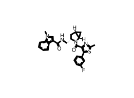 Cc1nc(C(=O)N2[C@H](CNC(=O)c3cn(C)c4ccccc34)C[C@@H]3C[C@@H]32)c(-c2cccc(F)c2)s1